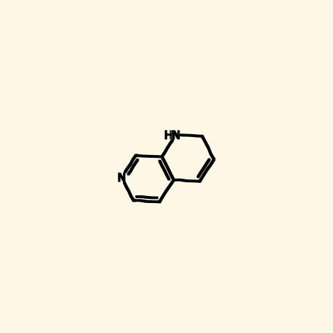 C1=Cc2ccncc2NC1